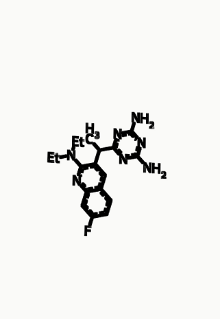 CCN(CC)c1nc2cc(F)ccc2cc1C(C)c1nc(N)nc(N)n1